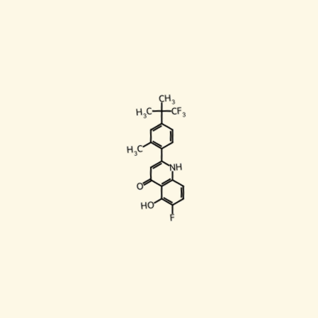 Cc1cc(C(C)(C)C(F)(F)F)ccc1-c1cc(=O)c2c(O)c(F)ccc2[nH]1